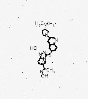 C/C(=N\O)c1ccc2nnc(Sc3ccc4ncc(N5CC[C@H](N(C)C)C5)cc4c3)n2c1.Cl